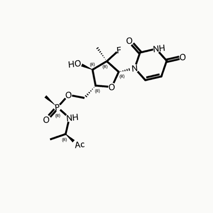 CC(=O)[C@@H](C)N[P@](C)(=O)OC[C@H]1O[C@@H](n2ccc(=O)[nH]c2=O)[C@](C)(F)[C@@H]1O